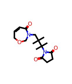 CC(C)(CN1COCC=CC1=O)C(C)(C)N1C(=O)CCC1=O